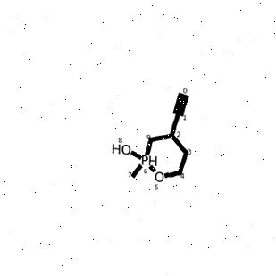 C#CC1CCO[PH](C)(O)C1